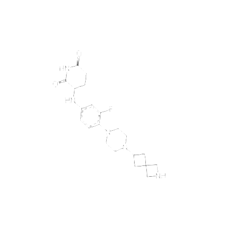 O=C1CCC(Nc2ccc(N3CCN(C4CC5(CNC5)C4)CC3)c(F)c2)C(=O)N1